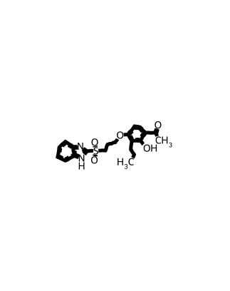 CCCc1c(OCCCS(=O)(=O)c2nc3ccccc3[nH]2)ccc(C(C)=O)c1O